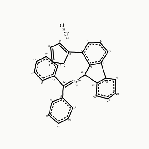 C1=CCC(c2cccc3c2[CH]([Ti+2]=[C](c2ccccc2)c2ccccc2)c2ccccc2-3)=C1.[Cl-].[Cl-]